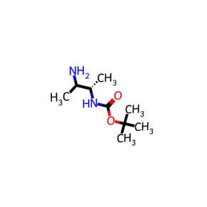 CC(N)[C@H](C)NC(=O)OC(C)(C)C